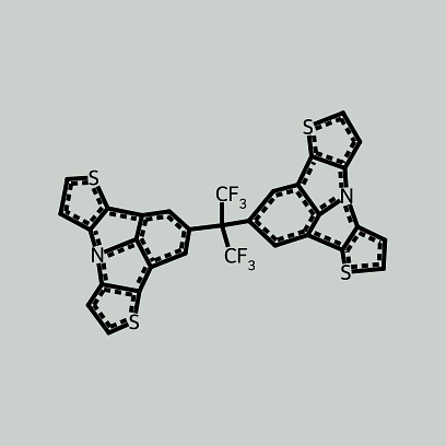 FC(F)(F)C(c1cc2c3sccc3n3c4ccsc4c(c1)c23)(c1cc2c3sccc3n3c4ccsc4c(c1)c23)C(F)(F)F